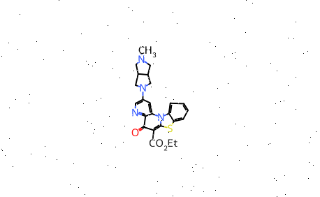 CCOC(=O)c1c(=O)c2ncc(N3CC4CN(C)CC4C3)cc2n2c1sc1ccccc12